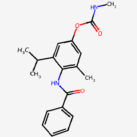 CNC(=O)Oc1cc(C)c(NC(=O)c2ccccc2)c(C(C)C)c1